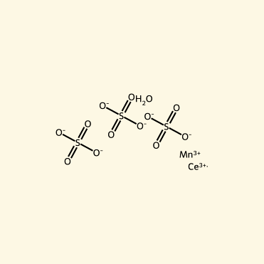 O.O=S(=O)([O-])[O-].O=S(=O)([O-])[O-].O=S(=O)([O-])[O-].[Ce+3].[Mn+3]